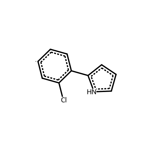 Clc1c[c]ccc1-c1ccc[nH]1